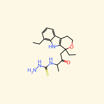 CCc1cccc2c3c([nH]c12)C(CC)(CC(=O)C(C)NC(=S)NN)OCC3